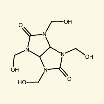 O=C1N(CO)C2C(N1CO)N(CO)C(=O)N2CO